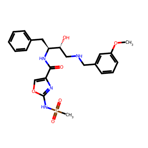 COc1cccc(CNC[C@@H](O)[C@H](Cc2ccccc2)NC(=O)c2coc(NS(C)(=O)=O)n2)c1